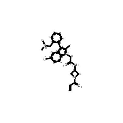 C=CC(=O)N1CC(NC(=O)Cn2c(C)c(-c3ccccc3CN(C)C)c3cc(Cl)ccc32)C1